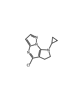 Clc1nc2ccnn2c2c1CCN2C1CC1